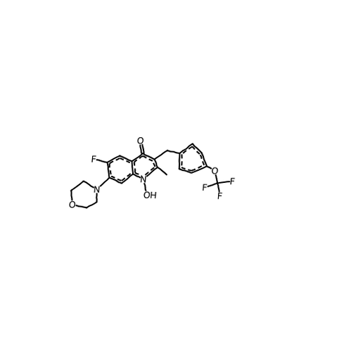 Cc1c(Cc2ccc(OC(F)(F)F)cc2)c(=O)c2cc(F)c(N3CCOCC3)cc2n1O